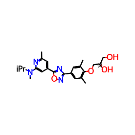 Cc1cc(-c2nc(-c3cc(C)c(OC[C@@H](O)CO)c(C)c3)no2)cc(N(C)C(C)C)n1